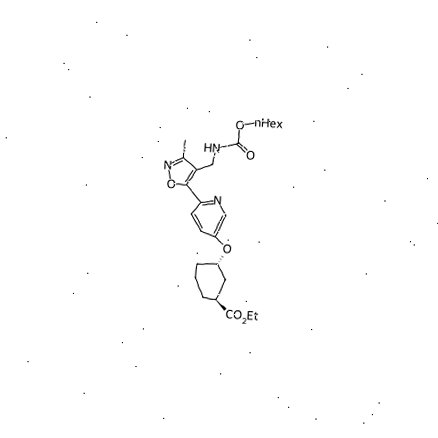 CCCCCCOC(=O)NCc1c(C)noc1-c1ccc(O[C@H]2CCC[C@H](C(=O)OCC)C2)cn1